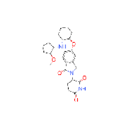 CO[C@H]1CCC[C@@H]1N[C@@H]1CCCC[C@H]1Oc1ccc2c(c1)CN(C1CCC(=O)NC1=O)C2=O